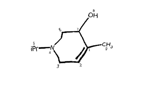 CC1=CCN(C(C)C)CC1O